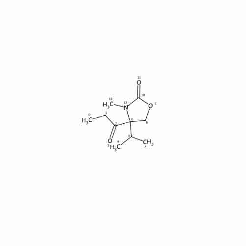 CCC(=O)C1(C(C)C)COC(=O)N1C